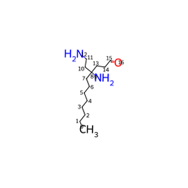 CCCCCCCCC(N)(CCN)CCC=O